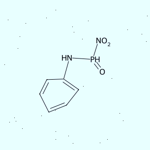 O=[N+]([O-])[PH](=O)Nc1ccccc1